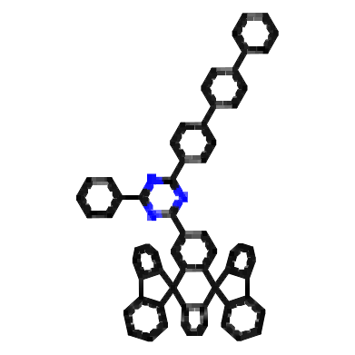 c1ccc(-c2ccc(-c3ccc(-c4nc(-c5ccccc5)nc(-c5ccc6c(c5)C5(c7ccccc7-c7ccccc75)c5ccccc5C65c6ccccc6-c6ccccc65)n4)cc3)cc2)cc1